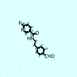 O=Cc1ccc(CCNC(=O)c2ccc(F)nc2)cc1